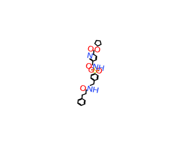 O=C(CCc1ccccc1)NCCc1ccc(S(=O)(=O)NC(=O)c2ccc(C(=O)OC3CCCC3)nc2)cc1